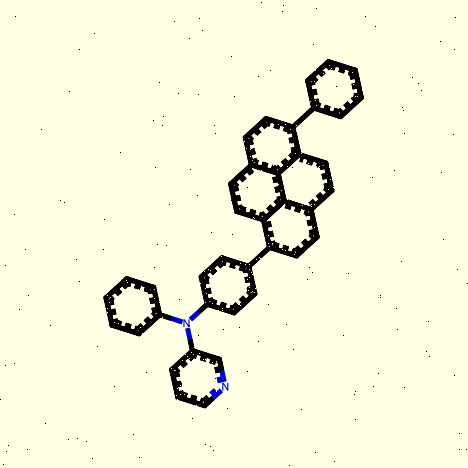 c1ccc(-c2ccc3ccc4c(-c5ccc(N(c6ccccc6)c6cccnc6)cc5)ccc5ccc2c3c54)cc1